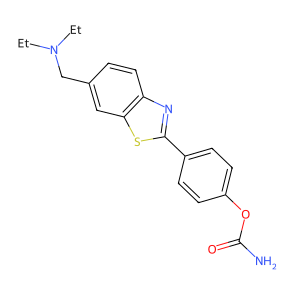 CCN(CC)Cc1ccc2nc(-c3ccc(OC(N)=O)cc3)sc2c1